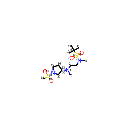 CN(CCN(C)S(=O)(=O)C(C)(C)C)[C@@H]1CCN(S(C)(=O)=O)C1